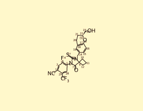 N#Cc1cc(F)c(N2C(=O)C3(CCC3)N(c3ccc4c(c3)CC[C@@H](CO)O4)C2=S)cc1C(F)(F)F